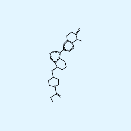 CCC(=O)N1CCC(O[C@@H]2CCCc3c(-c4ccc5c(c4)CCC(=O)N5C)cncc32)CC1